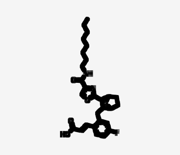 CCCCCCCCNC(=O)c1coc(C2C3CCC(O3)C2Cc2cc(F)ccc2/C=C/C(=O)O)n1